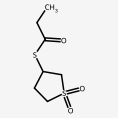 CCC(=O)SC1CCS(=O)(=O)C1